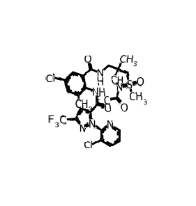 Cc1cc(Cl)cc(C(=O)NCC(C)(C)CS(C)(=O)=NC(=O)C(F)(F)F)c1NC(=O)c1cc(C(F)(F)F)nn1-c1ncccc1Cl